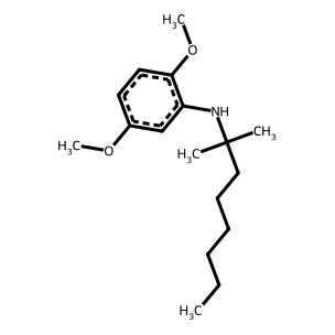 CCCCCCC(C)(C)Nc1cc(OC)ccc1OC